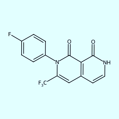 O=c1[nH]ccc2cc(C(F)(F)F)n(-c3ccc(F)cc3)c(=O)c12